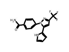 NC(=O)c1ccc(-n2nc(C(F)(F)F)cc2-c2ccc[nH]2)cc1